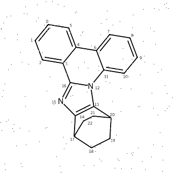 c1ccc2c(c1)c1ccccc1n1c3c(nc21)C1CCC3CC1